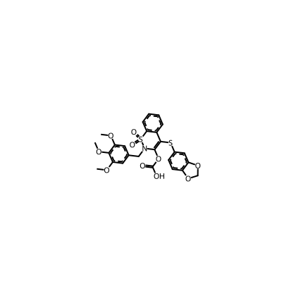 COc1cc(CN2C(OC(=O)O)=C(Sc3ccc4c(c3)OCO4)c3ccccc3S2(=O)=O)cc(OC)c1OC